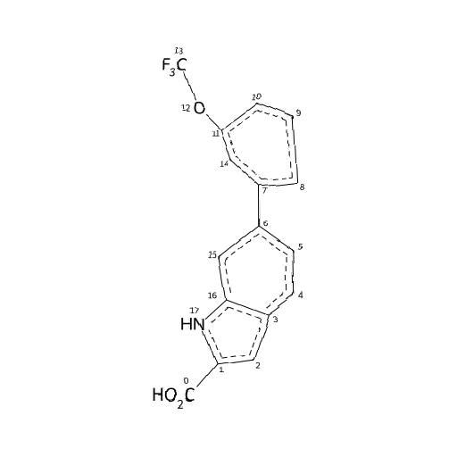 O=C(O)c1cc2ccc(-c3cccc(OC(F)(F)F)c3)cc2[nH]1